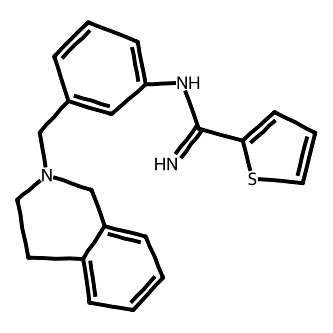 N=C(Nc1cccc(CN2CCc3ccccc3C2)c1)c1cccs1